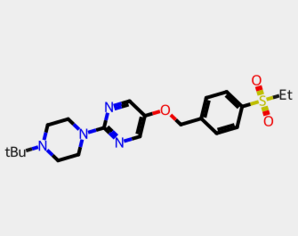 CCS(=O)(=O)c1ccc(COc2cnc(N3CCN(C(C)(C)C)CC3)nc2)cc1